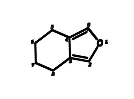 [c]1occ2c1CCCC2